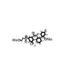 COCCS(=O)(=O)c1cc(C(=O)N(C)c2cnccc2-c2ccc(F)cc2OC)cc(C(F)(F)F)c1